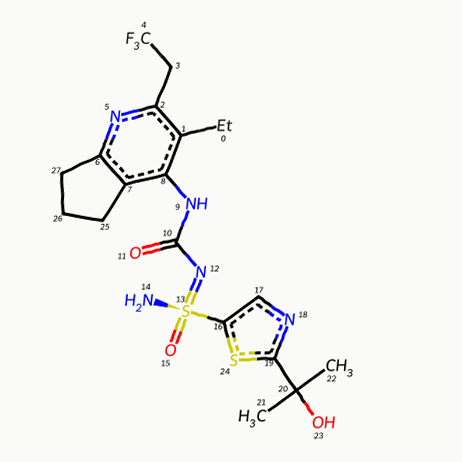 CCc1c(CC(F)(F)F)nc2c(c1NC(=O)N=[S@@](N)(=O)c1cnc(C(C)(C)O)s1)CCC2